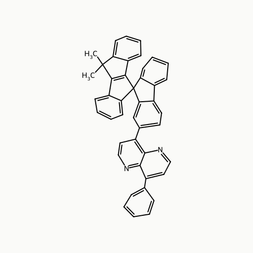 CC1(C)C2=C(c3ccccc31)C1(c3ccccc32)c2ccccc2-c2ccc(-c3ccnc4c(-c5ccccc5)ccnc34)cc21